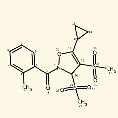 Cc1ccccc1C(=O)N1OC(C2CC2)=C(S(C)(=O)=O)C1S(C)(=O)=O